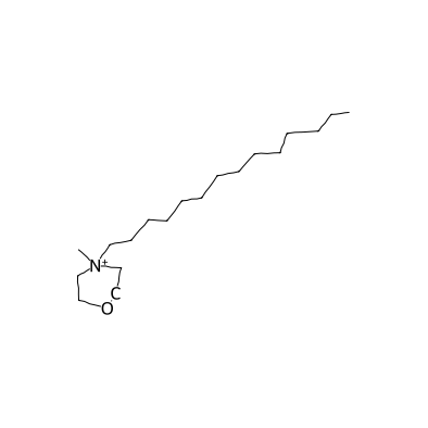 CCCCCCCCCCCCCC[N+]1(C)CCOCC1